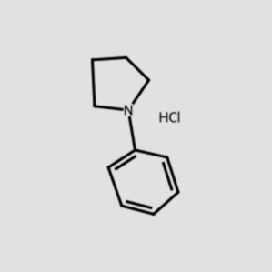 Cl.c1ccc(N2CCCC2)cc1